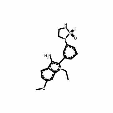 CCn1c(-c2cccc(N3CCNS3(=O)=O)c2)c(N)c2ccc(OC)cc21